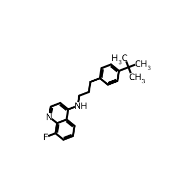 CC(C)(C)c1ccc(CCCNc2ccnc3c(F)cccc23)cc1